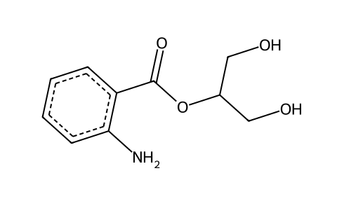 Nc1ccccc1C(=O)OC(CO)CO